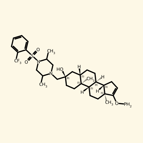 CC1CN(S(=O)(=O)c2ccccc2C(F)(F)F)C(C)CN1C[C@@]1(O)CC[C@@]2(C)[C@@H](CC[C@@H]3[C@@H]2CC[C@]2(C)C(OP)=CC[C@@H]32)C1